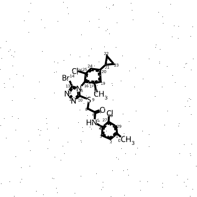 Cc1ccc(NC(=O)CSc2nnc(Br)n2-c2c(C)cc(C3CC3)cc2Cl)c(Cl)c1